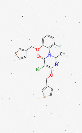 Cc1nc(OCc2ccsc2)c(Br)c(=O)n1-c1c(F)cccc1OCc1ccsc1